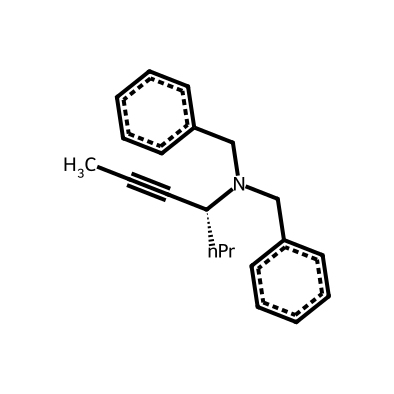 CC#C[C@@H](CCC)N(Cc1ccccc1)Cc1ccccc1